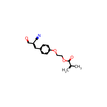 C=C(C)C(=O)OCCOc1ccc(/C=C(\C#N)C=O)cc1